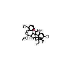 CCOC(=O)[C@@H]1NC2(CC(CF)(CF)C2)[C@@]2(C(=O)Nc3cc(Cl)ccc32)[C@H]1c1cccc(Cl)c1F